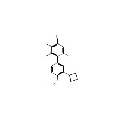 COc1ccc(-c2c(Cl)cc(Br)c(S)c2Cl)cc1C1CCC1